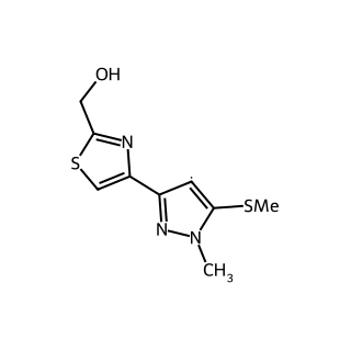 CSc1[c]c(-c2csc(CO)n2)nn1C